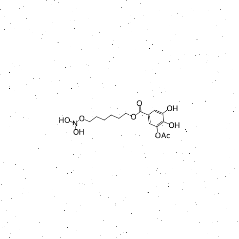 CC(=O)Oc1cc(C(=O)OCCCCCCON(O)O)cc(O)c1O